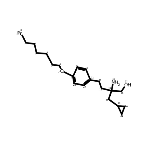 CC(C)CCCCCCOc1ccc(CCC(N)(CO)CC2CC2)cc1